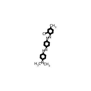 Cc1ccc(N=Nc2ccc(N=Nc3ccc(N(C)C)cc3)cc2)c(Cl)c1